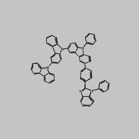 c1ccc(-n2c(-c3ccc(-c4ccc5c(c4)c4cc(-n6c7ccccc7c7cc(-n8c9ccccc9c9ccccc98)ccc76)ccc4n5-c4ccccc4)cc3)nc3ccccc32)cc1